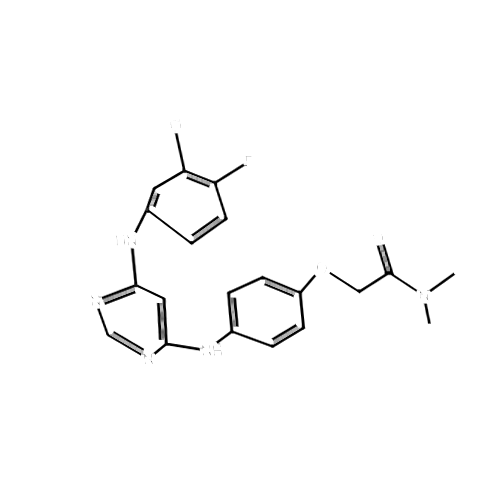 CN(C)C(=O)COc1ccc(Nc2cc(Nc3ccc(F)c(Cl)c3)ncn2)cc1